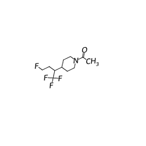 CC(=O)N1CCC(C(CCF)C(F)(F)F)CC1